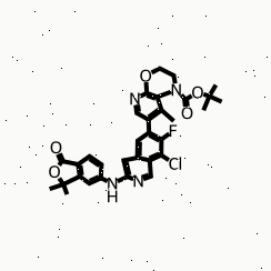 Cc1c(-c2cc3cc(Nc4ccc5c(c4)C(C)(C)OC5=O)ncc3c(Cl)c2F)cnc2c1N(C(=O)OC(C)(C)C)CCO2